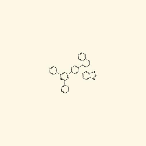 c1ccc(-c2cc(-c3ccc(-c4c(-c5cccc6ncoc56)ccc5ccccc45)cc3)cc(-c3ccccc3)n2)cc1